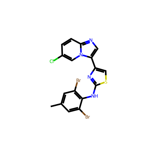 Cc1cc(Br)c(Nc2nc(-c3cnc4ccc(Cl)cn34)cs2)c(Br)c1